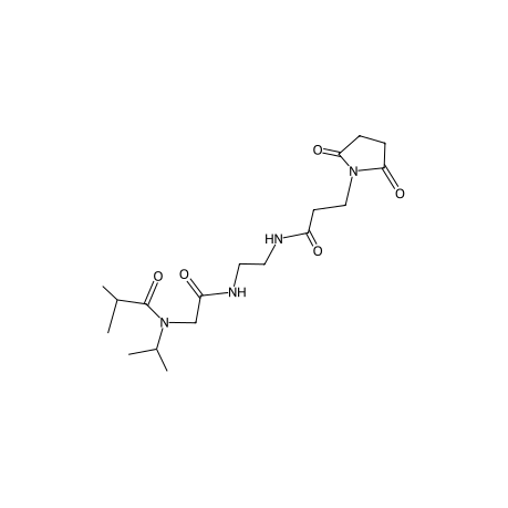 CC(C)C(=O)N(CC(=O)NCCNC(=O)CCN1C(=O)CCC1=O)C(C)C